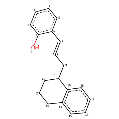 Oc1ccccc1C=CCC1CCCc2ccccc21